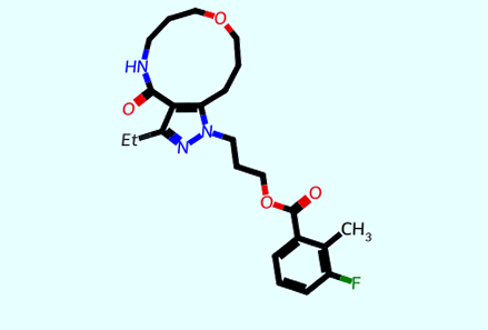 CCc1nn(CCCOC(=O)c2cccc(F)c2C)c2c1C(=O)NCCCOCCC2